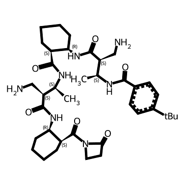 C[C@H](NC(=O)c1ccc(C(C)(C)C)cc1)[C@H](CN)C(=O)N[C@@H]1CCCC[C@@H]1C(=O)N[C@@H](C)[C@H](CN)C(=O)N[C@@H]1CCCC[C@@H]1C(=O)N1CCC1=O